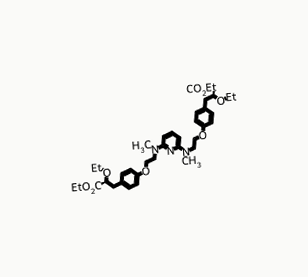 CCOC(=O)[C@H](Cc1ccc(OCCN(C)c2cccc(N(C)CCOc3ccc(C[C@H](OCC)C(=O)OCC)cc3)n2)cc1)OCC